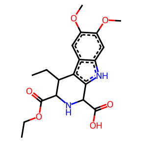 CCOC(=O)C1NC(C(=O)O)c2[nH]c3cc(OC)c(OC)cc3c2C1CC